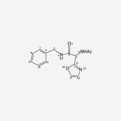 CC(=O)NC(C(=O)NCc1ccccc1)c1ncco1